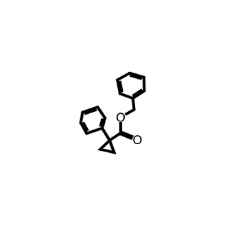 O=C(OCc1ccccc1)C1(c2ccccc2)CC1